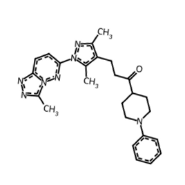 Cc1nn(-c2ccc3nnc(C)n3n2)c(C)c1CCC(=O)C1CCN(c2ccccc2)CC1